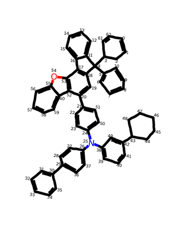 C1=CCC(C2(c3ccccc3)c3ccccc3-c3c2cc(-c2ccc(N(c4ccc(-c5ccccc5)cc4)c4cccc(C5CCCCC5)c4)cc2)c2c3oc3ccccc32)C=C1